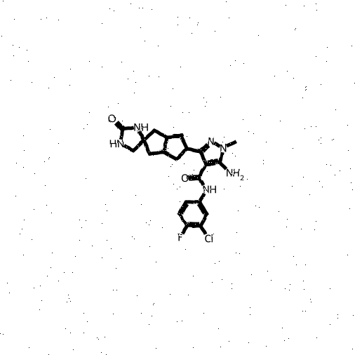 Cn1nc(C2CC3CC4(CNC(=O)N4)CC3C2)c(C(=O)Nc2ccc(F)c(Cl)c2)c1N